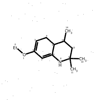 CCOC1=CCC2C(=C1)NC(C)(C)CC2C